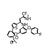 CS(=O)(=O)c1cccc(-c2ccc(/C(=C/C(=N)C(F)(F)F)Nc3cc(Cl)ccc3Oc3ccc(F)cc3)s2)c1